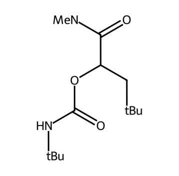 CNC(=O)C(CC(C)(C)C)OC(=O)NC(C)(C)C